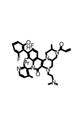 C=CC(=O)N1CC2CN(CCN(C)C)c3c(c4cc(F)c(-c5c(O)cccc5F)c(F)c4n(-c4c(C)ccnc4C(C)C)c3=O)N2CC1C